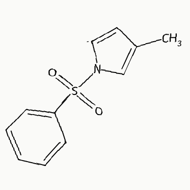 Cc1c[c]n(S(=O)(=O)c2ccccc2)c1